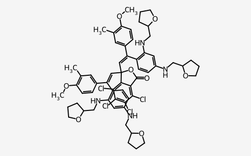 COc1ccc(C(=CC2(C=C(c3ccc(OC)c(C)c3)c3ccc(NCC4CCCO4)cc3NCC3CCCO3)OC(=O)c3c(Cl)c(Cl)c(Cl)c(Cl)c32)c2ccc(NCC3CCCO3)cc2NCC2CCCO2)cc1C